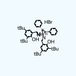 Br.CC(C)(C)c1cc(C=[N][Mn]2([N]=Cc3cc(C(C)(C)C)cc(C(C)(C)C)c3O)[C@H](c3ccccc3)[C@H]2c2ccccc2)c(O)c(C(C)(C)C)c1